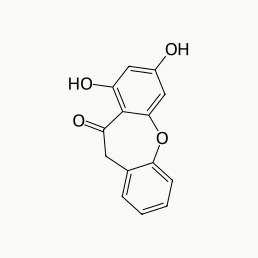 O=C1Cc2ccccc2Oc2cc(O)cc(O)c21